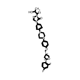 CCC(C(C)O)n1ncn(-c2ccc(N3CCN(c4ccc(OC[C@@H]5CO[C@@H](c6ccc(F)cc6F)C5)cc4)CC3)cc2)c1=O